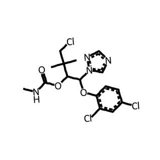 CNC(=O)OC(C(Oc1ccc(Cl)cc1Cl)n1cncn1)C(C)(C)CCl